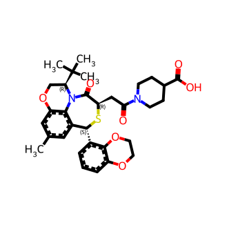 Cc1cc2c3c(c1)[C@@H](c1cccc4c1OCCO4)S[C@H](CC(=O)N1CCC(C(=O)O)CC1)C(=O)N3[C@H](C(C)(C)C)CO2